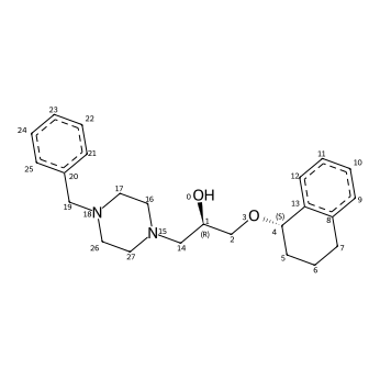 O[C@@H](CO[C@H]1CCCc2ccccc21)CN1CCN(Cc2ccccc2)CC1